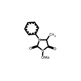 CON1C(=O)C(C)N(c2ccccc2)C1=O